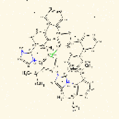 Cc1cccc(C(C)C)c1-n1ccnc1-c1ccc(-c2ccccc2-c2cc(Cl)cc(-c3ccccc3-c3ccc(-c4nccn4-c4c(C(C)C)cccc4C(C)C)cc3)c2)cc1